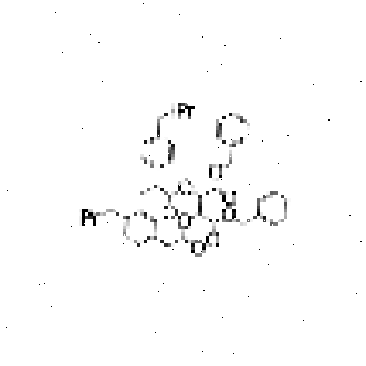 CC(C)Cc1ccc(C(C)C(=O)OC(C(=O)OCc2ccccc2)C(OC(=O)C(C)c2ccc(CC(C)C)cc2)C(=O)OCc2ccccc2)cc1